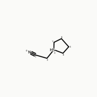 N#CC[SH]1CCCC1